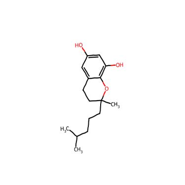 CC(C)CCCC1(C)CCc2cc(O)cc(O)c2O1